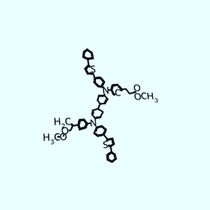 C=C(COOC)c1ccc(N(C2=CCC(C3C=CC(N(c4ccc(CCC(=O)OC)cc4)c4ccc(-c5ccc(-c6ccccc6)s5)cc4)=CC3)C=C2)c2ccc(-c3ccc(-c4ccccc4)s3)cc2)cc1